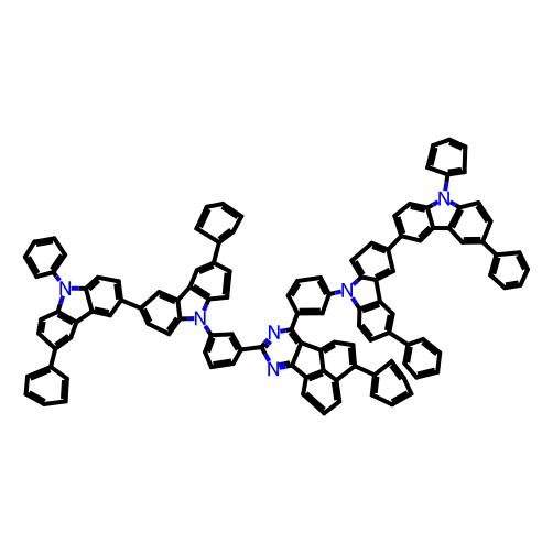 c1ccc(-c2ccc3c(c2)c2cc(-c4ccc5c(c4)c4cc(-c6ccccc6)ccc4n5-c4cccc(-c5nc(-c6cccc(-n7c8ccc(-c9ccccc9)cc8c8cc(-c9ccc%10c(c9)c9cc(-c%11ccccc%11)ccc9n%10-c9ccccc9)ccc87)c6)c6c(n5)-c5cccc7c(-c8ccccc8)ccc-6c57)c4)ccc2n3-c2ccccc2)cc1